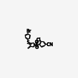 C=C1CN(S(=O)(=O)c2ccc(C#N)cc2Cl)C[C@@H]1Sc1ccc(Br)cc1